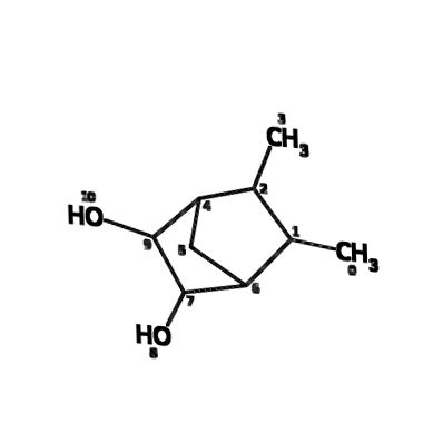 CC1C(C)C2CC1C(O)C2O